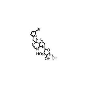 NC1(Cc2ccc(Br)s2)N=CN=C2C1=NCN2[C@@H]1O[C@H](CO)[C@@H](O)[C@H]1O